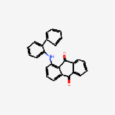 O=C1c2ccccc2C(=O)c2c(Nc3ccccc3-c3ccccc3)cccc21